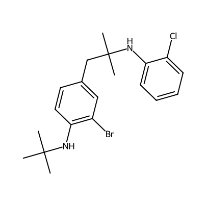 CC(C)(C)Nc1ccc(CC(C)(C)Nc2ccccc2Cl)cc1Br